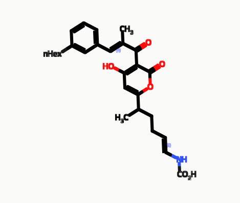 CCCCCCc1cccc(/C=C(\C)C(=O)c2c(O)cc(C(C)CC/C=C/NC(=O)O)oc2=O)c1